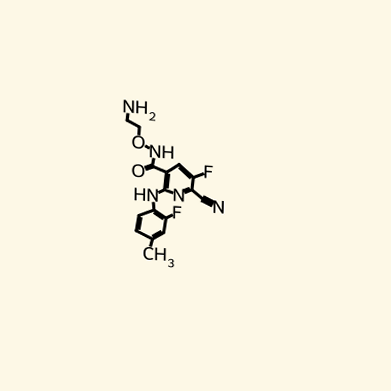 Cc1ccc(Nc2nc(C#N)c(F)cc2C(=O)NOCCN)c(F)c1